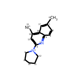 Cc1ccc2nc(N3CCCCC3)cc(C#N)c2c1